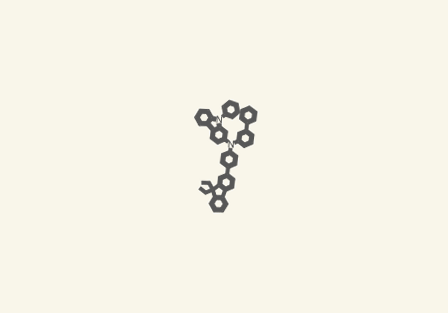 CCC1(CC)c2ccccc2-c2ccc(-c3ccc(N(c4cccc(-c5ccccc5)c4)c4ccc5c6ccccc6n(-c6ccccc6)c5c4)cc3)cc21